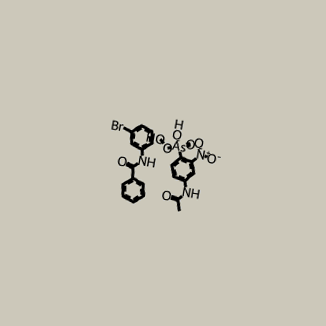 CC(=O)Nc1ccc([As](=O)(O)OO)c([N+](=O)[O-])c1.O=C(Nc1cccc(Br)c1)c1ccccc1